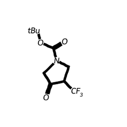 CC(C)(C)OC(=O)N1CC(=O)C(C(F)(F)F)C1